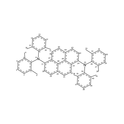 Cc1cccc(C)c1N(c1c(C)cccc1C)c1ccc2ccc3c(N(c4c(C)cccc4C)c4c(C)cccc4C)ccc4ccc1c2c43